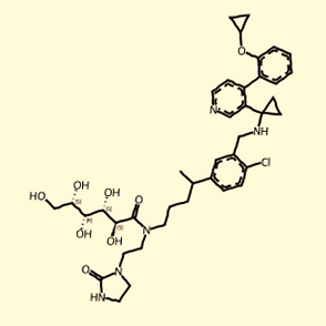 CC(CCCN(CCN1CCNC1=O)C(=O)[C@@H](O)[C@@H](O)[C@H](O)[C@@H](O)CO)c1ccc(Cl)c(CNC2(c3cnccc3-c3ccccc3OC3CC3)CC2)c1